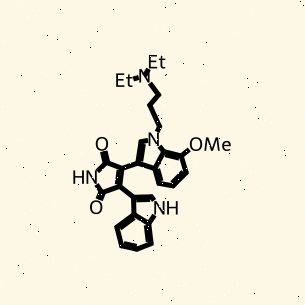 CCN(CC)CCCn1cc(C2=C(c3c[nH]c4ccccc34)C(=O)NC2=O)c2cccc(OC)c21